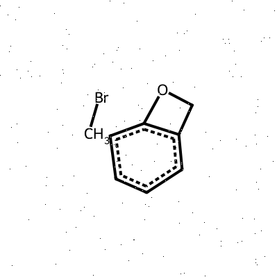 CBr.c1ccc2c(c1)CO2